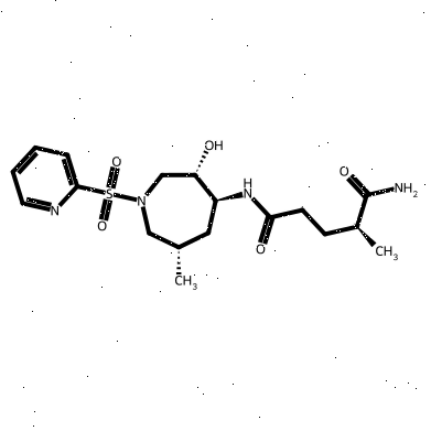 C[C@H]1C[C@H](NC(=O)[CH]C[C@H](C)C(N)=O)[C@@H](O)CN(S(=O)(=O)c2ccccn2)C1